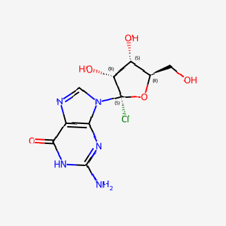 Nc1nc2c(ncn2[C@]2(Cl)O[C@H](CO)[C@@H](O)[C@H]2O)c(=O)[nH]1